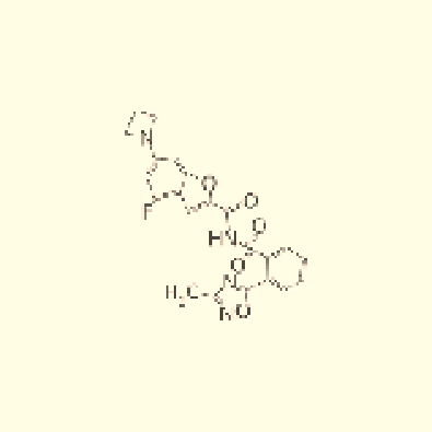 Cc1noc(-c2ccccc2S(=O)(=O)NC(=O)c2cc3c(F)cc(N4CCC4)cc3o2)n1